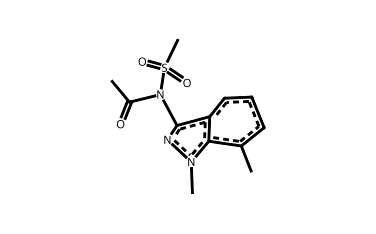 CC(=O)N(c1nn(C)c2c(C)cccc12)S(C)(=O)=O